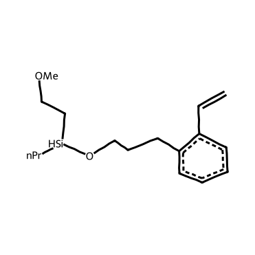 C=Cc1ccccc1CCCO[SiH](CCC)CCOC